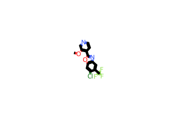 COc1cnccc1-c1nc2cc(C(F)(F)F)c(Cl)cc2o1